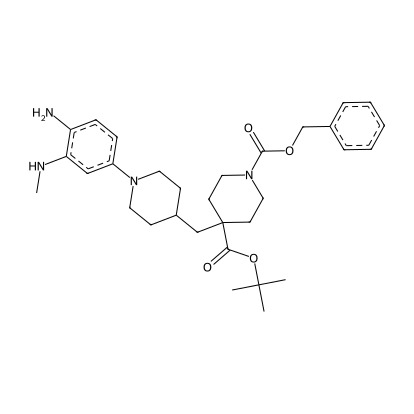 CNc1cc(N2CCC(CC3(C(=O)OC(C)(C)C)CCN(C(=O)OCc4ccccc4)CC3)CC2)ccc1N